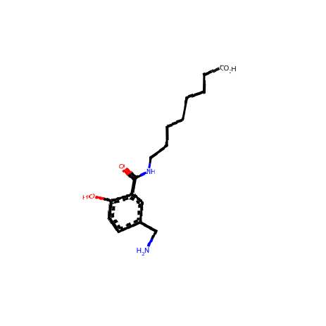 NCc1ccc(O)c(C(=O)NCCCCCCCC(=O)O)c1